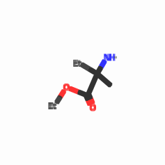 CCOC(=O)C(C)([NH])CC